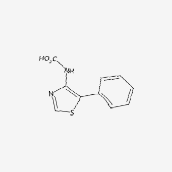 O=C(O)Nc1ncsc1-c1ccccc1